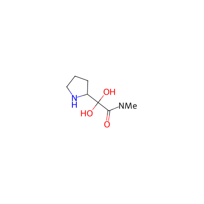 CNC(=O)C(O)(O)C1CCCN1